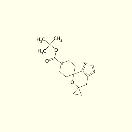 CC(C)(C)OC(=O)N1CCC2(CC1)OC1(CC1)Cc1ccsc12